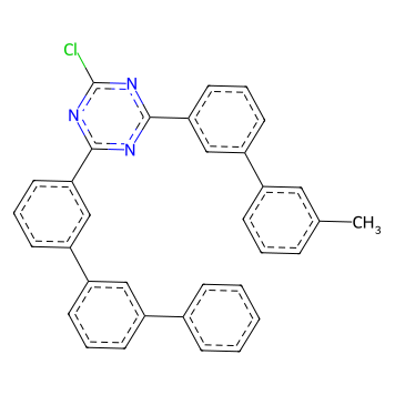 Cc1cccc(-c2cccc(-c3nc(Cl)nc(-c4cccc(-c5cccc(-c6ccccc6)c5)c4)n3)c2)c1